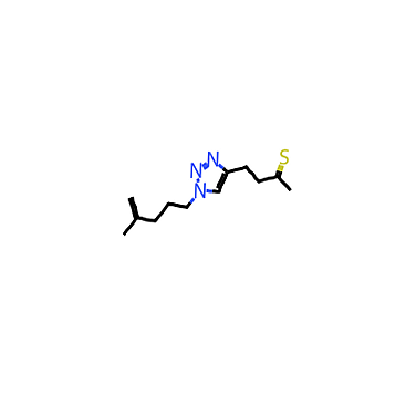 C=C(C)CCCn1cc(CCC(C)=S)nn1